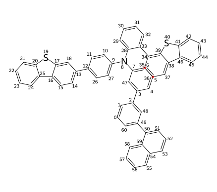 c1cc(-c2cccc(N(c3ccc(-c4ccc5c(c4)sc4ccccc45)cc3)c3ccccc3-c3cccc4c3sc3ccccc34)c2)cc(-c2cccc3ccccc23)c1